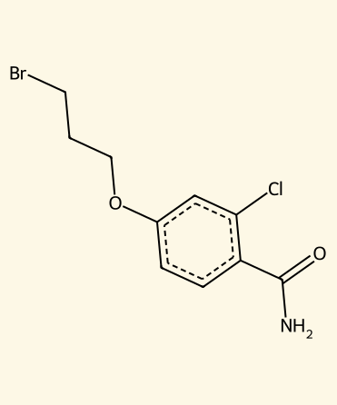 NC(=O)c1ccc(OCCCBr)cc1Cl